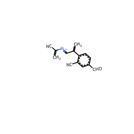 C=C(C#N)/N=C/C(=C)c1ccc(C=O)cc1C#N